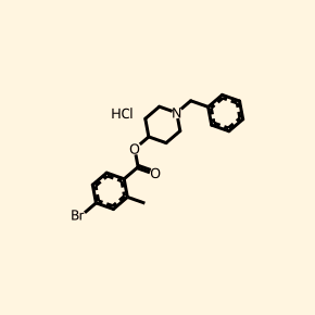 Cc1cc(Br)ccc1C(=O)OC1CCN(Cc2ccccc2)CC1.Cl